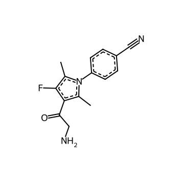 Cc1c(F)c(C(=O)CN)c(C)n1-c1ccc(C#N)cc1